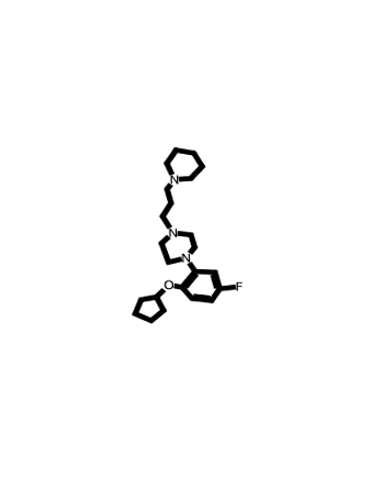 Fc1ccc(OC2CCCC2)c(N2CCN(CCCN3CCCCC3)CC2)c1